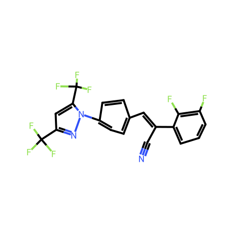 N#CC(=Cc1ccc(-n2nc(C(F)(F)F)cc2C(F)(F)F)cc1)c1cccc(F)c1F